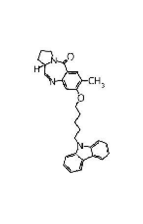 Cc1cc2c(cc1OCCCCCn1c3ccccc3c3ccccc31)N=C[C@@H]1CCCN1C2=O